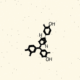 Cc1ccc(C(c2ccc(O)c(C)c2)C2C[C@@H]3C[C@H]2C[C@H]3c2ccc(O)c(C)c2)cc1C